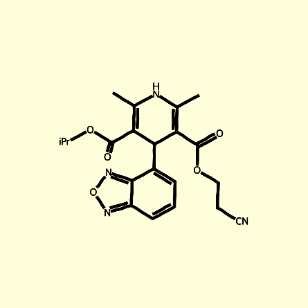 CC1=C(C(=O)OCCC#N)C(c2cccc3nonc23)C(C(=O)OC(C)C)=C(C)N1